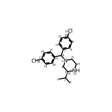 CC(C)[C@H]1CN(C(c2ccc(Cl)cc2)c2ccc(Cl)cc2)CCN1